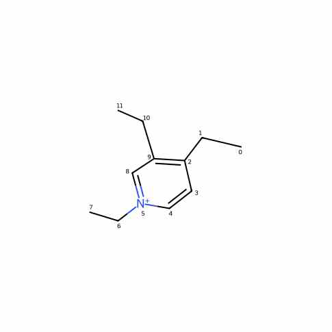 CCc1cc[n+](CC)cc1CC